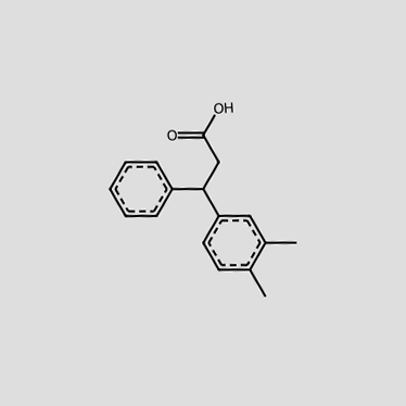 Cc1ccc(C(CC(=O)O)c2ccccc2)cc1C